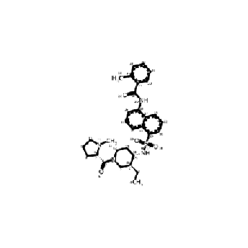 CC[C@H]1CN(C(=O)[C@@H]2CCCN2C)CC[C@@H]1NS(=O)(=O)c1cccc2c(NC(=O)c3ccccc3C)cccc12